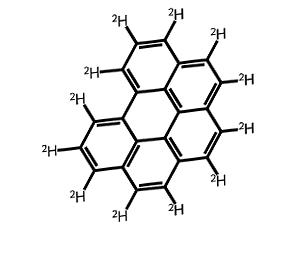 [2H]c1c([2H])c2c([2H])c([2H])c3c([2H])c([2H])c4c([2H])c([2H])c5c([2H])c([2H])c([2H])c6c(c1[2H])c2c3c4c56